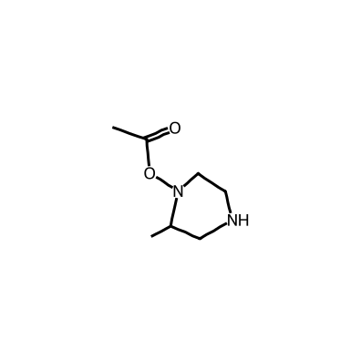 CC(=O)ON1CCNCC1C